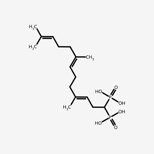 CC(C)=CCCC(C)=CCCC(C)=CCC(P(=O)(O)O)P(=O)(O)O